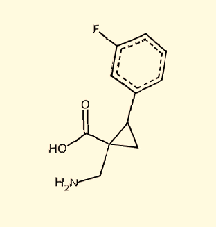 NCC1(C(=O)O)CC1c1cccc(F)c1